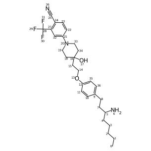 CCCCCC(N)CCc1ccc(OCCC2(O)CCN(c3ccc(C#N)c(C(F)(F)F)c3)CC2)cc1